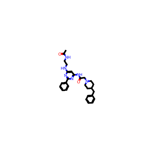 CC(=O)NCCNc1cc(NC(=O)CN2CCC(Cc3ccccc3)CC2)nc(-c2ccccc2)n1